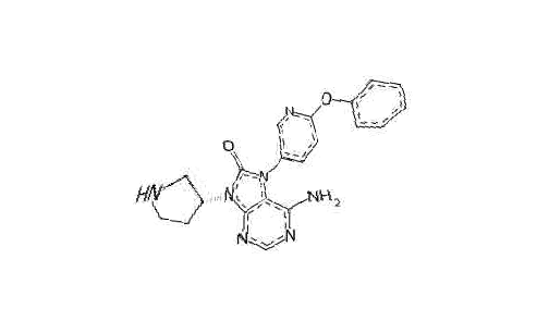 Nc1ncnc2c1n(-c1ccc(Oc3ccccc3)nc1)c(=O)n2[C@@H]1CCNC1